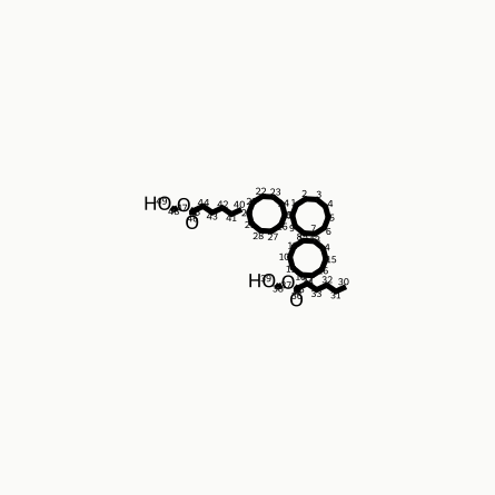 C1CCCCCCCCC1.C1CCCCCCCCC1.C1CCCCCCCCC1.CCCCCC(=O)OCO.CCCCCC(=O)OCO